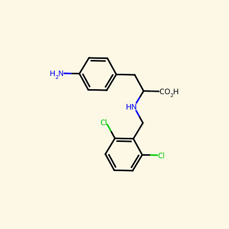 Nc1ccc(CC(NCc2c(Cl)cccc2Cl)C(=O)O)cc1